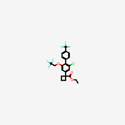 CCOC(=O)C1(c2cc(Cl)c(-c3ccc(C(F)(F)F)cc3)c(OCC(F)(F)F)c2)CCC1